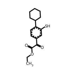 CCOC(=O)C(=O)c1ccc(C2CCCCC2)c(S)c1